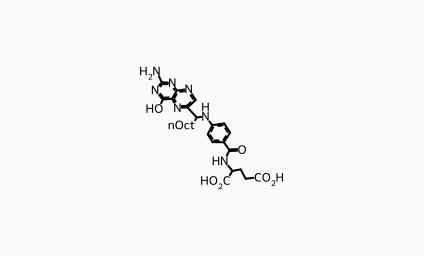 CCCCCCCCC(Nc1ccc(C(=O)NC(CCC(=O)O)C(=O)O)cc1)c1cnc2nc(N)nc(O)c2n1